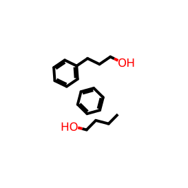 CCCCO.OCCCc1ccccc1.c1ccccc1